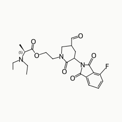 CCN(CC)[C@@H](C)C(=O)OCCN1CC(C=O)CC(N2C(=O)c3cccc(F)c3C2=O)C1=O